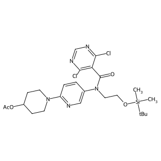 CC(=O)OC1CCN(c2ccc(N(CCO[Si](C)(C)C(C)(C)C)C(=O)c3c(Cl)ncnc3Cl)cn2)CC1